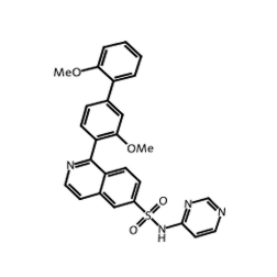 COc1ccccc1-c1ccc(-c2nccc3cc(S(=O)(=O)Nc4ccncn4)ccc23)c(OC)c1